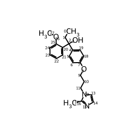 CCC(O)(c1ccc(OCCCn2ccnc2C)cc1)c1ccccc1OC